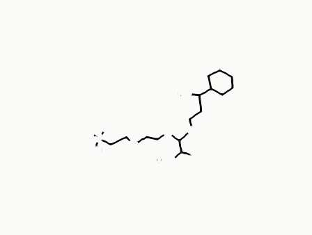 CCCCCCCCCC(CCOC(OCCOCC[N+](C)(C)C)C(C)OC)C1CCCCC1.[Cl-]